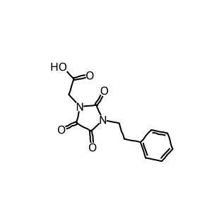 O=C(O)CN1C(=O)C(=O)N(CCc2ccccc2)C1=O